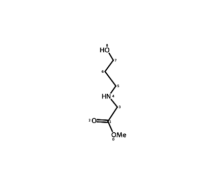 COC(=O)CNCCCO